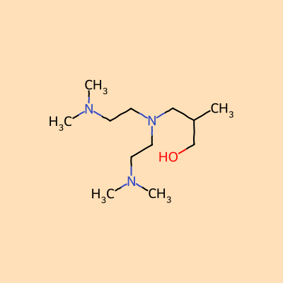 CC(CO)CN(CCN(C)C)CCN(C)C